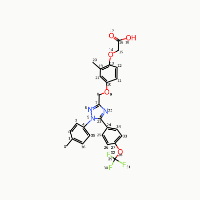 Cc1ccc(-n2nc(COc3ccc(OCC(=O)O)c(C)c3)nc2-c2ccc(OC(F)(F)F)cc2)cc1